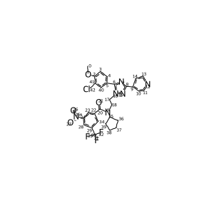 COc1ccc(-c2nc(-c3ccncc3)nn2CCN(C(=O)c2cc([N+](=O)[O-])cc(C(F)(F)F)c2)C2CCCC2)cc1Cl